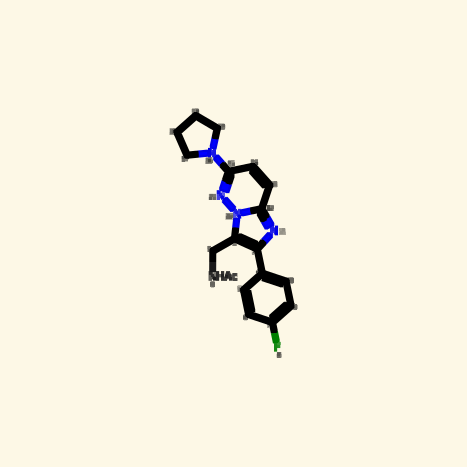 CC(=O)NCc1c(-c2ccc(F)cc2)nc2ccc(N3CCCC3)nn12